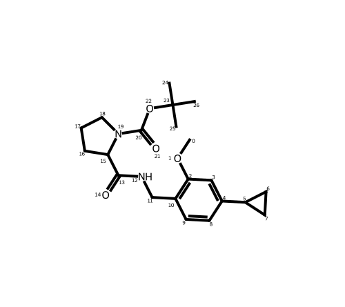 COc1cc(C2CC2)ccc1CNC(=O)C1CCCN1C(=O)OC(C)(C)C